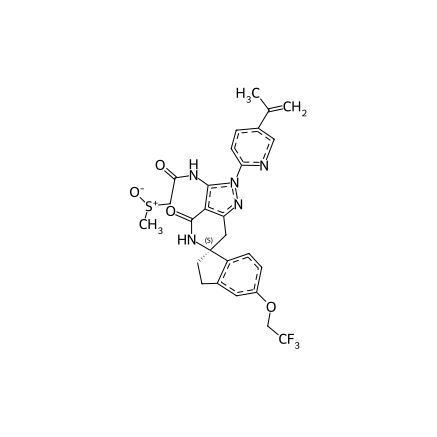 C=C(C)c1ccc(-n2nc3c(c2NC(=O)C[S+](C)[O-])C(=O)N[C@@]2(CCc4cc(OCC(F)(F)F)ccc42)C3)nc1